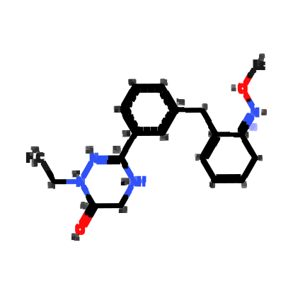 CCO/N=C1/CC=CC=C1Cc1cccc(C2=NN(CC(F)(F)F)C(=O)CN2)c1